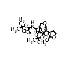 CC(C)(C)OC(=O)NC[C@@]12COC(O1)[C@H](N1CCOC1=O)[C@H]1OC(C)(C)O[C@H]12